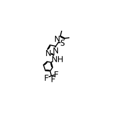 Cc1nc(-c2ccnc(Nc3cccc(C(F)(F)F)c3)n2)sc1C